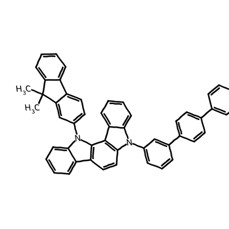 CC1(C)c2ccccc2-c2ccc(-n3c4ccccc4c4ccc5c(c6ccccc6n5-c5cccc(-c6ccc(-c7ccccc7)cc6)c5)c43)cc21